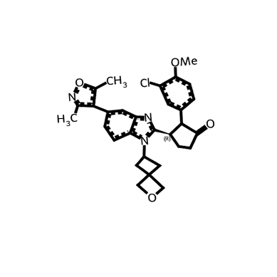 COc1ccc(C2C(=O)CC[C@H]2c2nc3cc(-c4c(C)noc4C)ccc3n2C2CC3(COC3)C2)cc1Cl